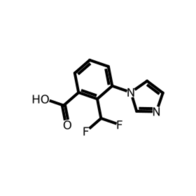 O=C(O)c1cccc(-n2ccnc2)c1C(F)F